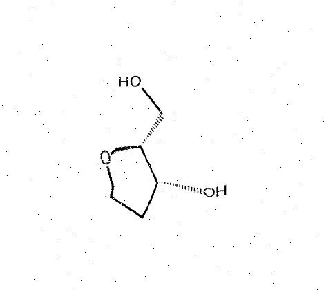 OC[C@H]1O[CH]C[C@H]1O